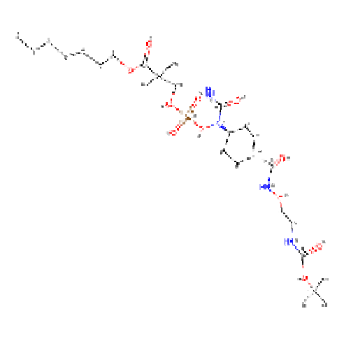 CCCCCCCOC(=O)C(C)(C)COS(=O)(=O)ON(C(N)=O)[C@H]1CC[C@H](C(=O)NOCCNC(=O)OC(C)(C)C)CC1